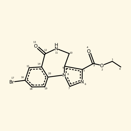 CCOC(=O)c1ncn2c1CNC(=O)c1cc(Br)ccc1-2